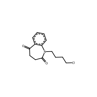 O=C1CCC(=O)N(CCCCCl)c2ccccc21